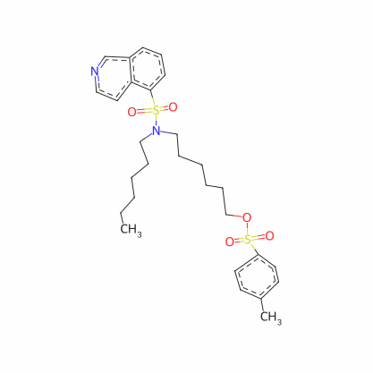 CCCCCCN(CCCCCCOS(=O)(=O)c1ccc(C)cc1)S(=O)(=O)c1cccc2cnccc12